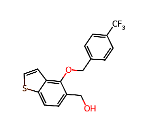 OCc1ccc2sccc2c1OCc1ccc(C(F)(F)F)cc1